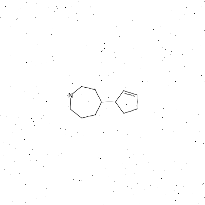 C1=CC(C2CCC[N]CC2)CC1